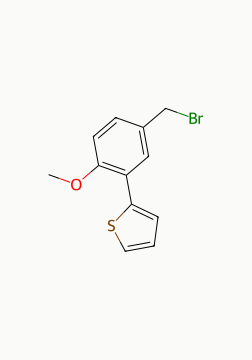 COc1ccc(CBr)cc1-c1cccs1